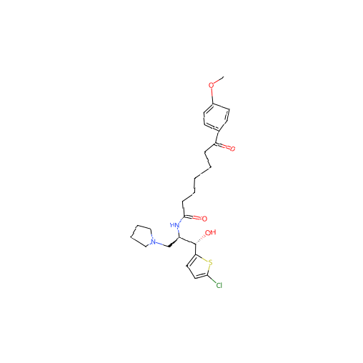 COc1ccc(C(=O)CCCCCC(=O)N[C@H](CN2CCCC2)[C@H](O)c2ccc(Cl)s2)cc1